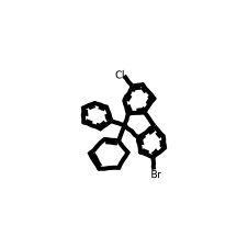 Clc1ccc2c(c1)C(C1=CC=CCC1)(c1ccccc1)c1cc(Br)ccc1-2